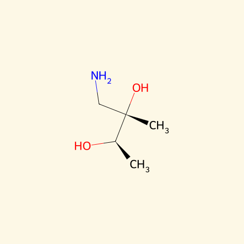 C[C@@H](O)[C@@](C)(O)CN